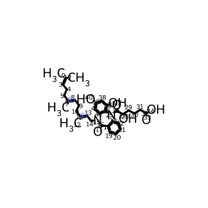 CC(C)=CCC/C(C)=C/CC/C(C)=C/CN1C(=O)c2cccc(O)c2N(C(=O)CCCCC(=O)O)c2c(O)cc(O)cc21